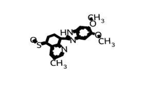 COc1cc2nc(C3CCC(=S=O)c4cc(C)cnc43)[nH]c2cc1OC